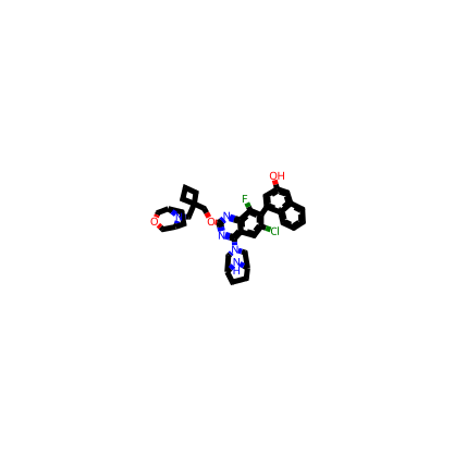 Oc1cc(-c2c(Cl)cc3c(N4CC5CCC(C4)N5)nc(OCC4(CN5C6CCC5COC6)CCC4)nc3c2F)c2ccccc2c1